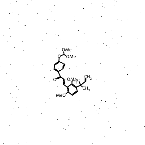 C=CC(C)(C)c1ccc(OC)c(/C=C/C(=O)c2ccc(OC(OC)OC)cc2)c1OC